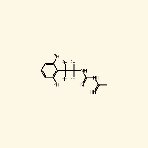 [2H]c1cccc([2H])c1C([2H])([2H])C([2H])([2H])NC(=N)NC(C)=N